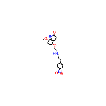 COc1ccc(OCCNCCCc2ccc([N+](=O)[O-])cc2)c2ccc(=O)[nH]c12